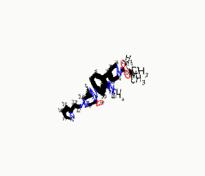 Cn1c2c(c3ccc(N4CCN(CCc5ccccn5)CC4=O)cc31)CCN(C(=O)OC(C)(C)C)C2